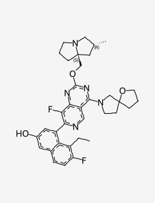 CCc1c(F)ccc2cc(O)cc(-c3ncc4c(N5CCC6(CCCO6)C5)nc(OC[C@@]56CCCN5C[C@H](C)C6)nc4c3F)c12